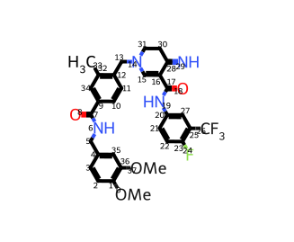 COc1ccc(CNC(=O)c2ccc(CN3C=C(C(=O)Nc4ccc(F)c(C(F)(F)F)c4)C(=N)CC3)c(C)c2)cc1OC